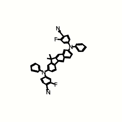 CC1(C)c2cc(N(c3ccccc3)c3ccc(C#N)c(F)c3)ccc2-c2cc3ccc(N(c4ccccc4)c4ccc(C#N)c(F)c4)cc3cc21